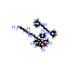 CC1(C)CC(N(C2CC(C)(C)NC(C)(C)C2)C(CCCCCNCCNCCCCCCN)(C2CC(C)(C)NC(C)(C)C2)C2CC(C)(C)NC(C)(C)C2)CC(C)(C)N1.CN1C(C)(C)CC(NCCCCCCNC2CC(C)(C)N(C)C(C)(C)C2)CC1(C)C